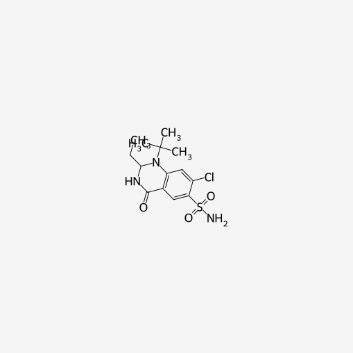 CCC1NC(=O)c2cc(S(N)(=O)=O)c(Cl)cc2N1C(C)(C)C